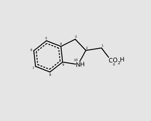 O=C(O)CC1Cc2ccccc2N1